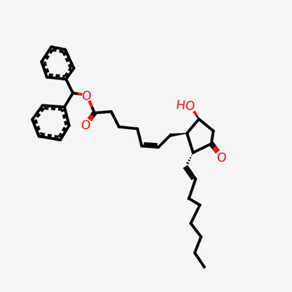 CCCCCC/C=C/[C@H]1C(=O)C[C@H](O)[C@@H]1C/C=C\CCCC(=O)OC(c1ccccc1)c1ccccc1